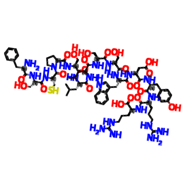 CC(C)C[C@H](NC(=O)[C@H](CC(C)C)NC(=O)[C@H](CO)NC(=O)[C@@H]1CCCN1C(=O)[C@H](CS)NC(=O)[C@H](CO)NC(=O)[C@@H](N)Cc1ccccc1)C(=O)N[C@@H](CO)C(=O)N[C@@H](CO)C(=O)N[C@@H](Cc1c[nH]c2ccccc12)C(=O)N[C@@H](CC(=O)O)C(=O)N[C@@H](Cc1ccc(O)cc1)C(=O)N[C@@H](CCCNC(=N)N)C(=O)N[C@@H](CCCNC(=N)N)C(=O)O